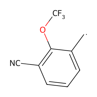 [CH2]c1cccc(C#N)c1OC(F)(F)F